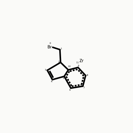 BrCC1C=Cc2ccccc21.[Zr]